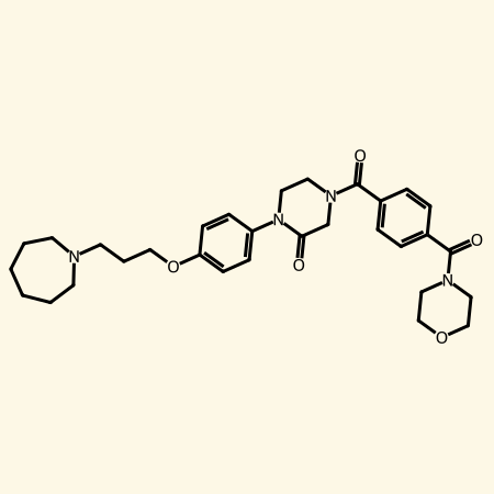 O=C(c1ccc(C(=O)N2CCN(c3ccc(OCCCN4CCCCCC4)cc3)C(=O)C2)cc1)N1CCOCC1